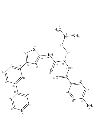 CN(C)CC[C@H](NC(=O)c1ccc(N)cc1)C(=O)Nc1nc(-c2cccc(-c3ccncc3)c2)cs1